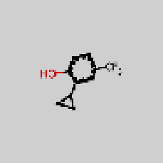 Oc1ccc(C(F)(F)F)cc1C1CC1